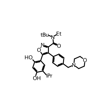 CCN(C(=O)c1noc(-c2cc(C(C)C)c(O)cc2O)c1-c1ccc(CN2CCOCC2)cc1)C(C)(C)C